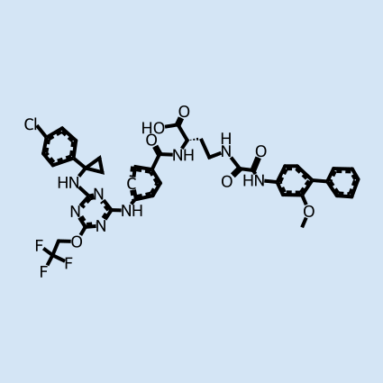 COc1cc(NC(=O)C(=O)NCC[C@H](NC(=O)c2ccc(Nc3nc(NC4(c5ccc(Cl)cc5)CC4)nc(OCC(F)(F)F)n3)cc2)C(=O)O)ccc1-c1ccccc1